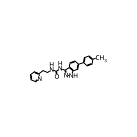 Cc1ccc(-c2ccc3c(NC(=O)NCCc4ccccn4)n[nH]c3c2)cc1